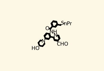 CCCSCc1cccc(C(=O)Nc2ccc(N3CCC(O)CC3)cc2-c2cc(C=O)ccn2)c1